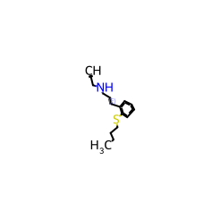 C#CCNC/C=C/c1ccccc1SCCCC